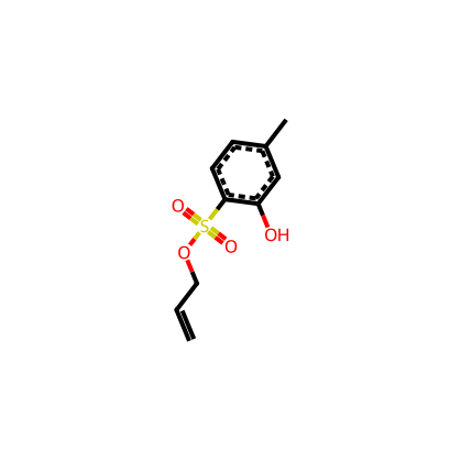 C=CCOS(=O)(=O)c1ccc(C)cc1O